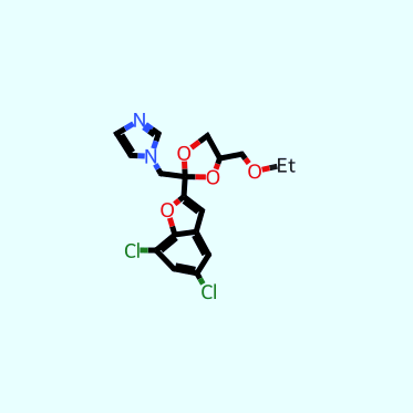 CCOCC1COC(Cn2ccnc2)(c2cc3cc(Cl)cc(Cl)c3o2)O1